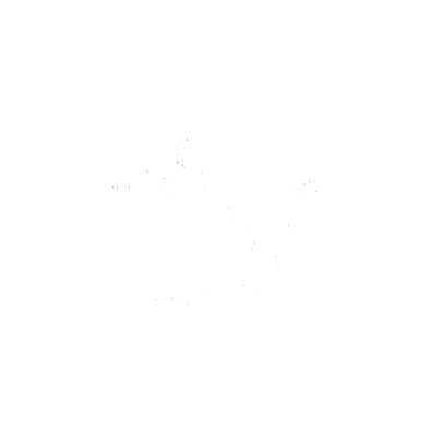 C=CCCC(/C=C\CCSSO)OC/C=C/CCN(C)C(=O)OC(C)(C)C